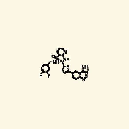 Nc1ncnc2ccc(C3=CCC(CNc4ncccc4S(=O)(=O)NCc4ccc(F)c(F)c4)S3)cc12